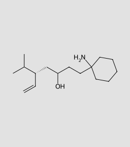 C=C[C@@H](CC(O)CCC1(N)CCCCC1)C(C)C